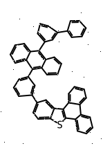 c1ccc(-c2cccc(-c3c4ccccc4c(-c4cccc(-c5ccc6sc7c8ccccc8c8ccccc8c7c6c5)c4)c4ccccc34)c2)cc1